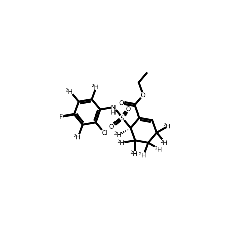 [2H]c1c([2H])c(NS(=O)(=O)[C@@]2([2H])C(C(=O)OCC)=CC([2H])([2H])C([2H])([2H])C2([2H])[2H])c(Cl)c([2H])c1F